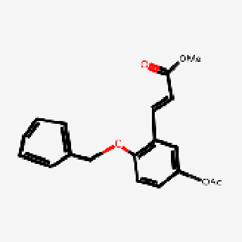 COC(=O)C=Cc1cc(OC(C)=O)ccc1OCc1ccccc1